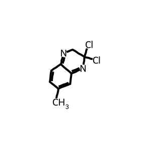 Cc1ccc2c(c1)=NC(Cl)(Cl)CN=2